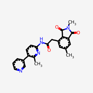 Cc1cc(CC(=O)Nc2ccc(-c3cccnc3)c(C)n2)c2c(c1)C(=O)N(C)C2=O